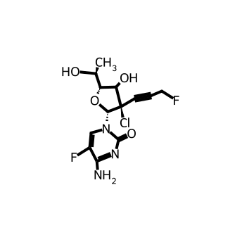 C[C@H](O)[C@H]1O[C@@H](n2cc(F)c(N)nc2=O)[C@@](Cl)(C#CCF)C1O